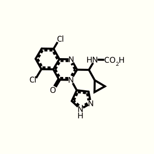 O=C(O)NC(c1nc2c(Cl)ccc(Cl)c2c(=O)n1-c1cn[nH]c1)C1CC1